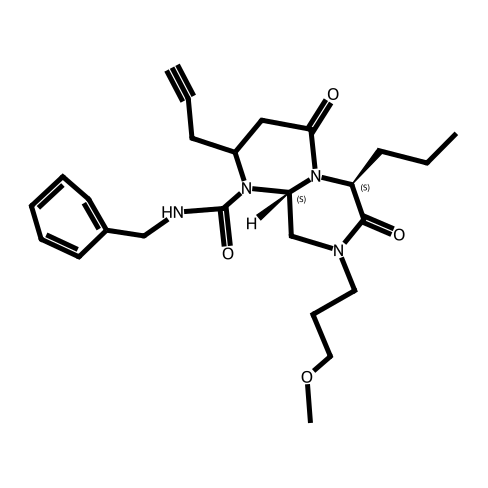 C#CCC1CC(=O)N2[C@H](CN(CCCOC)C(=O)[C@@H]2CCC)N1C(=O)NCc1ccccc1